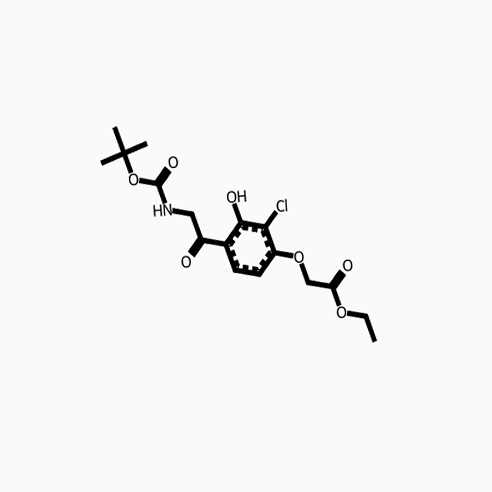 CCOC(=O)COc1ccc(C(=O)CNC(=O)OC(C)(C)C)c(O)c1Cl